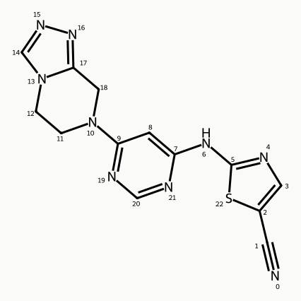 N#Cc1cnc(Nc2cc(N3CCn4cnnc4C3)ncn2)s1